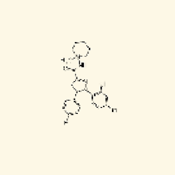 C[N+]1(NC(=O)C2=NN(c3ccc(Cl)cc3Cl)C(c3ccc(F)cc3)C2)CCCCC1